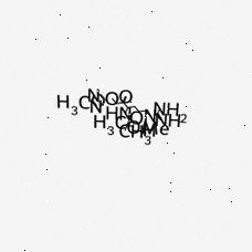 COC(C)(C)C(=O)NC(CCCNC(=N)N)C(=O)COc1cnc(C)nc1